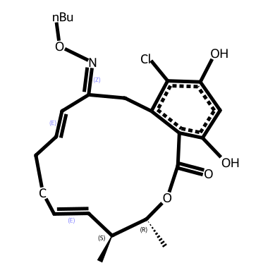 CCCCO/N=C1\C=C\CC/C=C/[C@H](C)[C@@H](C)OC(=O)c2c(O)cc(O)c(Cl)c2C1